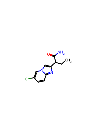 CCC(C(N)=O)c1cn2cc(Cl)ccc2n1